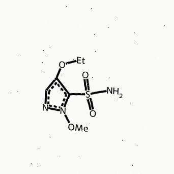 CCOc1cnn(OC)c1S(N)(=O)=O